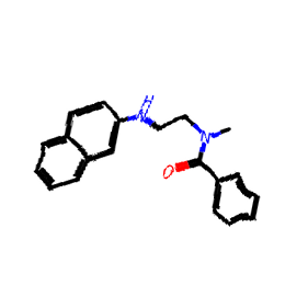 CN(CCNc1ccc2ccccc2c1)C(=O)c1ccccc1